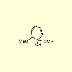 COC1C=CC=CC1(O)OC